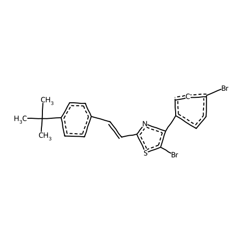 CC(C)(C)c1ccc(/C=C/c2nc(-c3ccc(Br)cc3)c(Br)s2)cc1